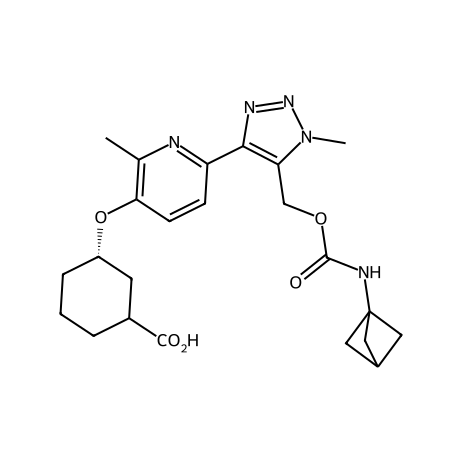 Cc1nc(-c2nnn(C)c2COC(=O)NC23CC(C2)C3)ccc1O[C@H]1CCCC(C(=O)O)C1